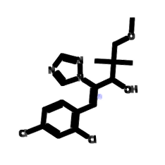 COCC(C)(C)C(O)/C(=C/c1ccc(Cl)cc1Cl)n1cncn1